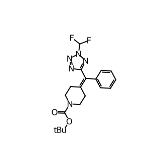 CC(C)(C)OC(=O)N1CCC(=C(c2ccccc2)c2nnn(C(F)F)n2)CC1